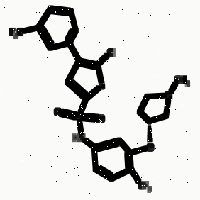 CN1CC[C@@H](Oc2cc(NS(=O)(=O)c3cc(-c4cccc(C(F)(F)F)c4)c(Cl)s3)ccc2C(F)(F)F)C1